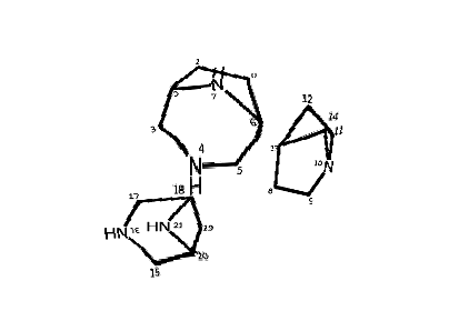 C1CC2CNCC1N2.C1CN2CCC1C2.C1NCC2CC1N2